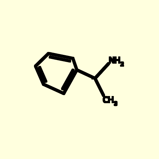 C[C](N)c1ccccc1